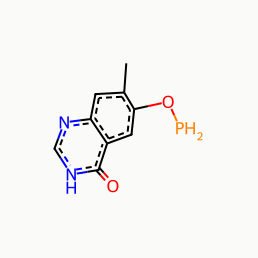 Cc1cc2nc[nH]c(=O)c2cc1OP